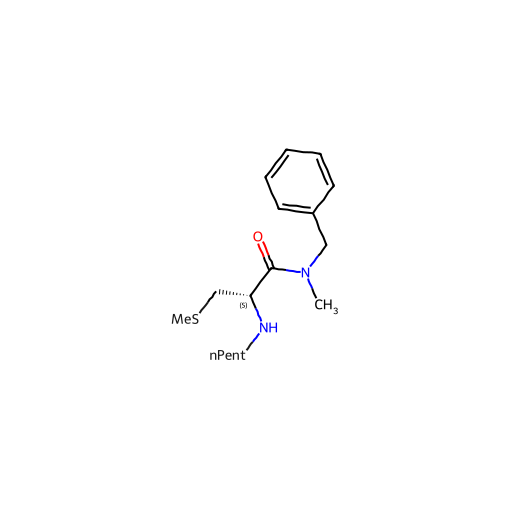 [CH2]SC[C@@H](NCCCCC)C(=O)N(C)Cc1ccccc1